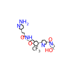 CC1(O)CCN(C(=O)c2ccc(-c3cc(C(F)(F)F)c4oc(CNC(=O)C=Cc5ccc(N)nc5)cc4c3)nc2)C1